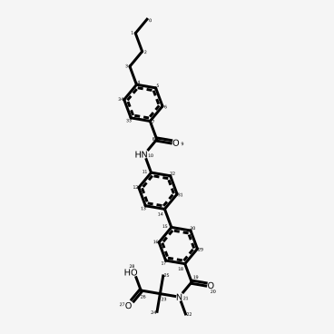 CCCCc1ccc(C(=O)Nc2ccc(-c3ccc(C(=O)N(C)C(C)(C)C(=O)O)cc3)cc2)cc1